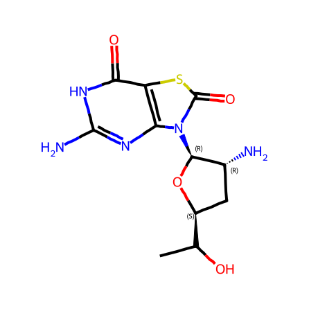 CC(O)[C@@H]1C[C@@H](N)[C@H](n2c(=O)sc3c(=O)[nH]c(N)nc32)O1